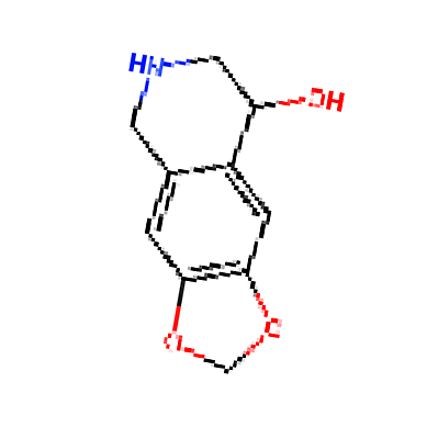 OC1CNCc2cc3c(cc21)OCO3